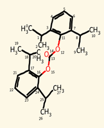 CC(C)c1cccc(C(C)C)c1OC(=O)Oc1c(C(C)C)cccc1C(C)C